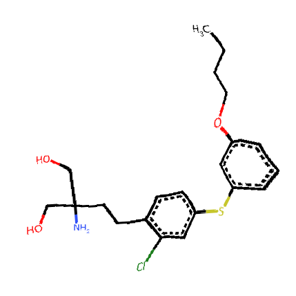 CCCCOc1cccc(Sc2ccc(CCC(N)(CO)CO)c(Cl)c2)c1